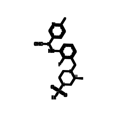 CCS(=O)(=O)N1CCN(Cc2cccc(NN(C=O)c3ccc(C)nc3)c2F)[C@@H](C)C1